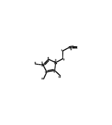 CCCCCCCCn1c[n+](C)c(C)c1C